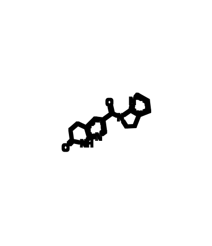 O=C1CCc2cc(C(=O)N3CCc4cccnc43)cnc2N1